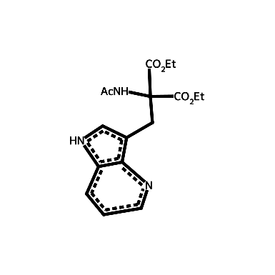 CCOC(=O)C(Cc1c[nH]c2cccnc12)(NC(C)=O)C(=O)OCC